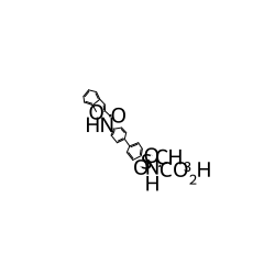 C[C@@H](NS(=O)(=O)c1ccc(-c2ccc(NC(=O)c3cc4ccccc4o3)cc2)cc1)C(=O)O